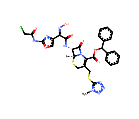 Cn1nnnc1SCC1=C(C(=O)OC(c2ccccc2)c2ccccc2)N2C(=O)[C@@H](NC(=O)/C(=N\O)c3coc(NC(=O)CCl)n3)[C@@H]2SC1